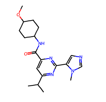 COC1CCC(NC(=O)c2cc(C(C)C)nc(-c3cncn3C)n2)CC1